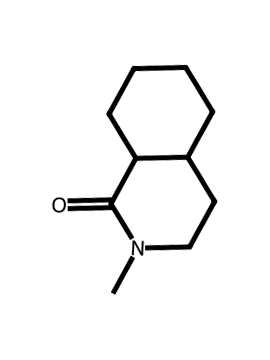 CN1CCC2CCCCC2C1=O